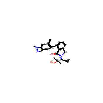 Cc1cc2c(cnn2C)cc1-c1cccc2c1C(=O)N([C@H](C1CC1)C(C)(C)O)C2